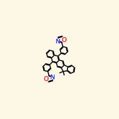 CC1(C)c2ccccc2-c2cc3c(-c4cccc(-c5ncco5)c4)c4ccccc4c(-c4cccc(-c5ncco5)c4)c3cc21